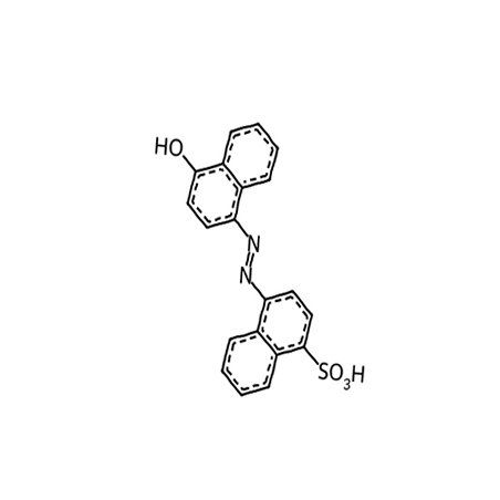 O=S(=O)(O)c1ccc(N=Nc2ccc(O)c3ccccc23)c2ccccc12